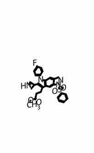 COC(=O)CCc1c(C2CNC2)n(-c2ccc(F)cc2)c2cc3cnn(S(=O)(=O)c4ccccc4)c3cc12